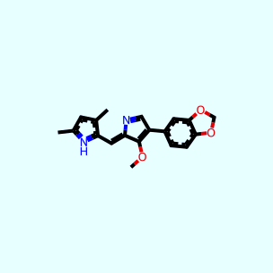 COC1=C(c2ccc3c(c2)OCO3)C=NC1=Cc1[nH]c(C)cc1C